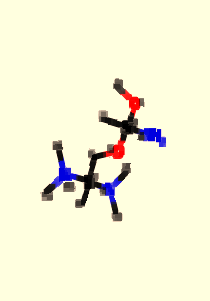 CO[Si](C)(N)OC[Si](C)(N(C)C)N(C)C